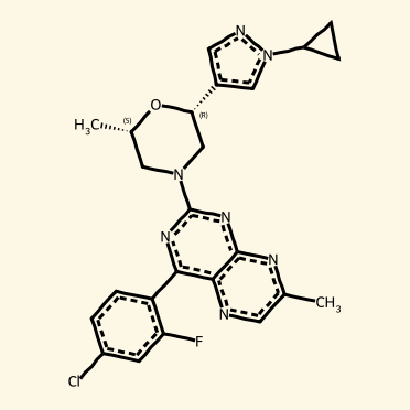 Cc1cnc2c(-c3ccc(Cl)cc3F)nc(N3C[C@@H](c4cnn(C5CC5)c4)O[C@@H](C)C3)nc2n1